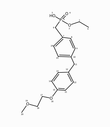 CCOP(=O)(O)Cc1ccc(Cc2ccc(OCCOC)cc2)cc1